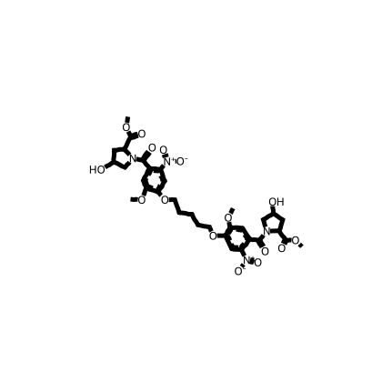 COC(=O)C1CC(O)CN1C(=O)c1cc(OC)c(OCCCCCOc2cc([N+](=O)[O-])c(C(=O)N3CC(O)CC3C(=O)OC)cc2OC)cc1[N+](=O)[O-]